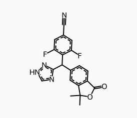 CC1(C)OC(=O)c2ccc(C(c3nc[nH]n3)c3c(F)cc(C#N)cc3F)cc21